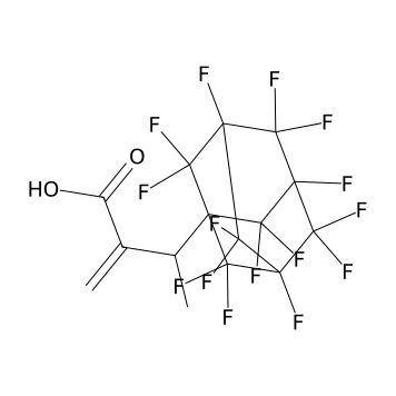 C=C(C(=O)O)C(C)C12C(F)(F)C3(F)C(F)(F)C(F)(C(F)(F)C(F)(C3(F)F)C1(F)F)C2(F)F